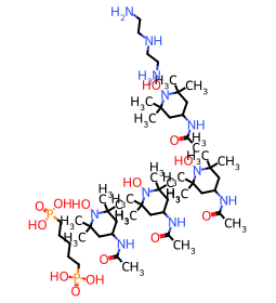 CC(=O)NC1CC(C)(C)N(O)C(C)(C)C1.CC(=O)NC1CC(C)(C)N(O)C(C)(C)C1.CC(=O)NC1CC(C)(C)N(O)C(C)(C)C1.CC(=O)NC1CC(C)(C)N(O)C(C)(C)C1.NCCNCCN.O=P(O)(O)CCCCCP(=O)(O)O